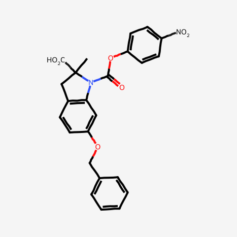 CC1(C(=O)O)Cc2ccc(OCc3ccccc3)cc2N1C(=O)Oc1ccc([N+](=O)[O-])cc1